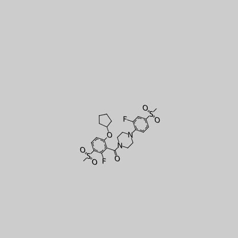 CS(=O)(=O)c1ccc(N2CCN(C(=O)c3c(OC4CCCC4)ccc(S(C)(=O)=O)c3F)CC2)c(F)c1